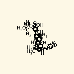 C=C(C)C1CC[C@]2(NCCN3CCS(=O)(=O)CC3)CC[C@]3(C)[C@H](CC[C@@H]4[C@@]5(C)CC=C(C6=CCC(COc7cnnn7C(C)C)(C(=O)O)CC6)C(C)(C)[C@@H]5CC[C@]43C)[C@@H]12